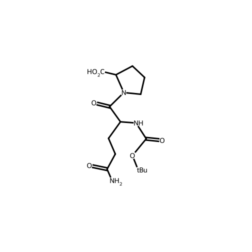 CC(C)(C)OC(=O)NC(CCC(N)=O)C(=O)N1CCCC1C(=O)O